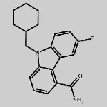 NC(=O)c1cccc2c1c1[c]c(F)ccc1n2CC1CCCCC1